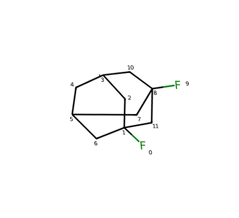 FC12C[C]3CC(C1)CC(F)(C3)C2